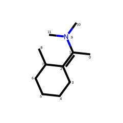 C/C(=C1\CCCCC1C)N(C)C